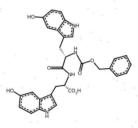 O=C(N[C@@H](Cc1c[nH]c2ccc(O)cc12)C(=O)N[C@@H](Cc1c[nH]c2ccc(O)cc12)C(=O)O)OCc1ccccc1